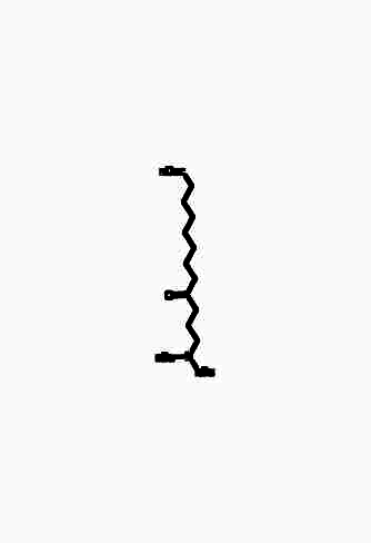 CCCCCCCCCCCCCCCCCC(=O)CCCN(CCCC)CCCC